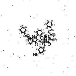 CCC(=O)OC(CN(Cc1ccc(C#N)cc1)NC(=O)[C@@H](NC(=O)OCc1ccccc1)C(C)C)C(C(=O)[C@@H](NC(=O)OCc1ccccc1)C(C)C)C(N)c1ccccc1